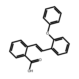 O=C(O)c1ccccc1C=Cc1ccccc1Oc1ccccc1